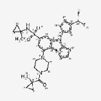 CC1(NS(=O)(=O)c2cc(N3CCN(C(=O)C4(C)CC4)CC3)c3c(c2)n(-c2nnc(C(F)F)s2)c2nccn32)CC1